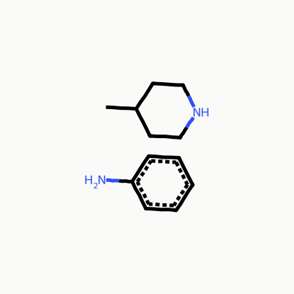 CC1CCNCC1.Nc1ccccc1